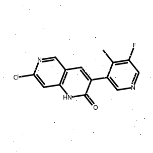 Cc1c(F)cncc1-c1cc2cnc(Cl)cc2[nH]c1=O